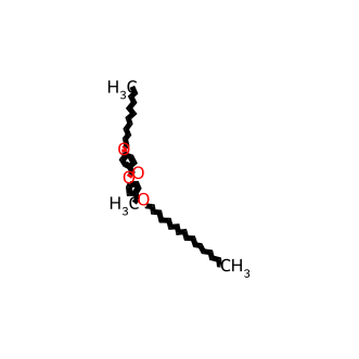 CCCCCCCCCCCCCCCCCCCCOC(C)c1ccc(OC(=O)c2ccc(OCCCCCCCCCCCC)cc2)cc1